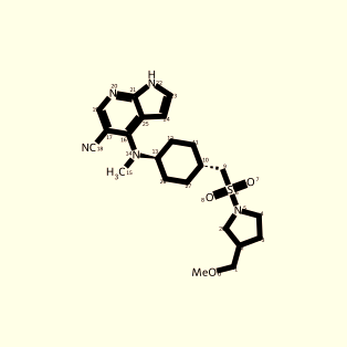 COCC1CCN(S(=O)(=O)C[C@H]2CC[C@H](N(C)c3c(C#N)cnc4[nH]ccc34)CC2)C1